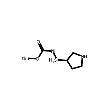 CC(C)(C)OC(=O)N[SiH2]C1CCNC1